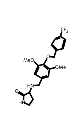 COc1cc(CNC2CCNC2=O)cc(OC)c1OCc1ccc(C(F)(F)F)cc1